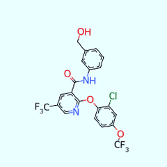 O=C(Nc1cccc(CO)c1)c1cc(C(F)(F)F)cnc1Oc1ccc(OC(F)(F)F)cc1Cl